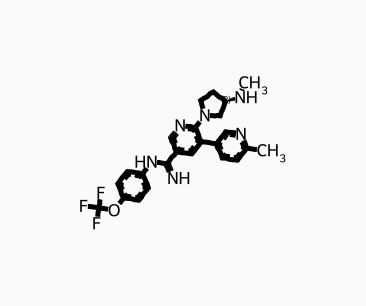 CN[C@@H]1CCN(c2ncc(C(=N)Nc3ccc(OC(F)(F)F)cc3)cc2-c2ccc(C)nc2)C1